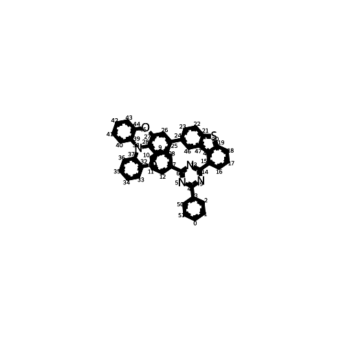 c1ccc(-c2nc(-c3ccccc3)nc(-c3cccc4sc5ccc(-c6cc7c8c(c6)Oc6ccccc6N8c6ccccc6O7)cc5c34)n2)cc1